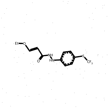 CCOC=CC(=O)NNc1ccc(SC(F)(F)F)cc1